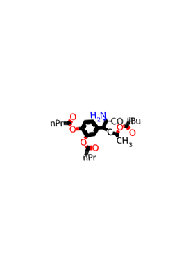 CCCC(=O)Oc1ccc(C(CC(C)OC(=O)C(C)CC)[C@H](N)C(=O)O)cc1OC(=O)CCC